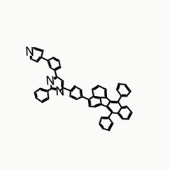 c1ccc(-c2nc(-c3ccc(-c4ccc5c6c(cccc46)-c4c-5c(-c5ccccc5)c5ccccc5c4-c4ccccc4)cc3)cc(-c3cccc(-c4ccncc4)c3)n2)cc1